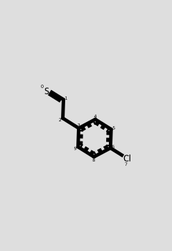 S=CCc1ccc(Cl)cc1